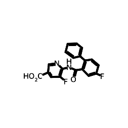 O=C(O)c1cnc(NC(=O)c2cc(F)ccc2-c2ccccc2)c(F)c1